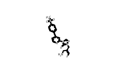 CS(=O)(=O)c1ccc(-c2ccnc(-n3cnn(C/C(=C/F)CN)c3=O)c2)cc1